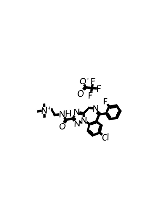 C[N+](C)(C)CCNC(=O)c1nc2n(n1)-c1ccc(Cl)cc1C(c1ccccc1F)=NC2.O=C([O-])C(F)(F)F